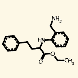 CCOC(=O)C(CCc1ccccc1)Nc1ccccc1CN